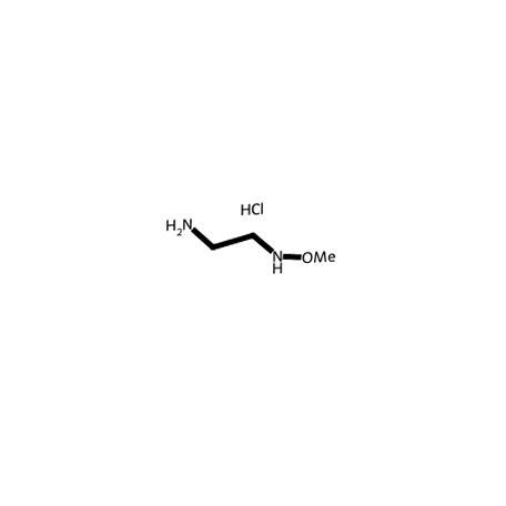 CONCCN.Cl